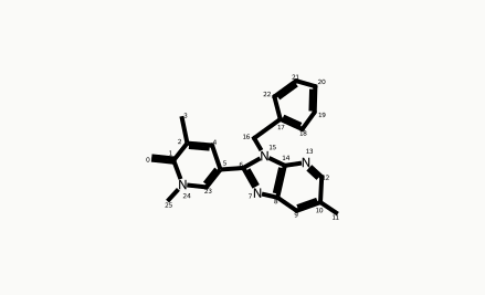 C=C1C(C)=CC(c2nc3cc(C)cnc3n2Cc2ccccc2)=CN1C